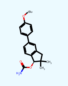 CC(C)(C)Oc1ccc(-c2ccc3c(c2)CC(C)(C)[C@H]3OC(N)=O)cc1